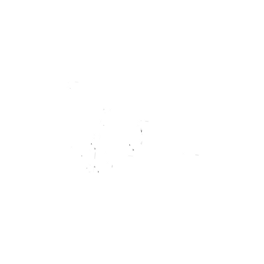 N#CC1(NC(=O)C(CS(=O)(=O)CCCC(F)(F)F)N[C@H](c2ccc(F)cc2)C(F)(F)F)CC1